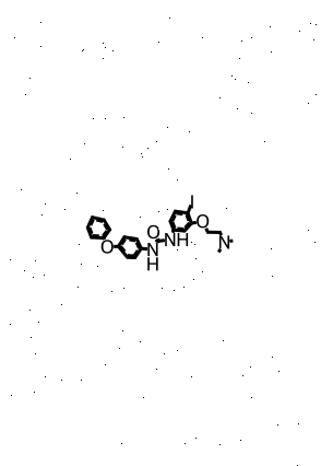 CN(C)CCOc1cc(NC(=O)Nc2ccc(Oc3ccccc3)cc2)ccc1I